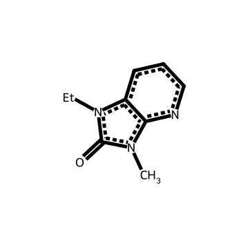 CCn1c(=O)n(C)c2ncccc21